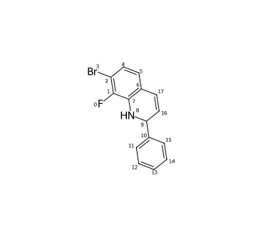 Fc1c(Br)ccc2c1NC(c1ccccc1)C=C2